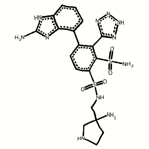 Nc1nc2c(-c3ccc(S(=O)(=O)NCC4(N)CCNC4)c(S(N)(=O)=O)c3-c3nn[nH]n3)cccc2[nH]1